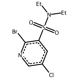 CCN(CC)S(=O)(=O)c1cc(Cl)cnc1Br